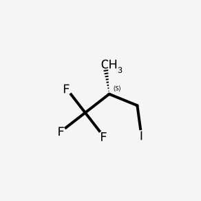 C[C@H](CI)C(F)(F)F